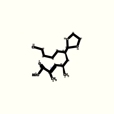 COC(=O)/C(C)=C/[C@H](C)C[C@@H](CCCCCl)C1OCCO1